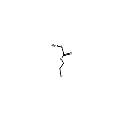 CONC(=O)OCCBr